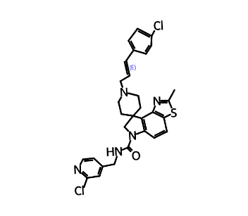 Cc1nc2c3c(ccc2s1)N(C(=O)NCc1ccnc(Cl)c1)CC31CCN(C/C=C/c2ccc(Cl)cc2)CC1